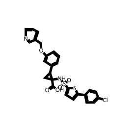 O=C(O)C1(NS(=O)(=O)c2ccc(-c3ccc(Cl)cc3)s2)CC1c1cccc(OCc2cccnc2)c1